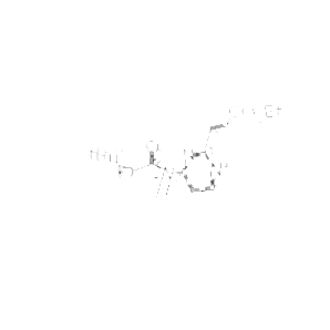 CCOC(=O)/C=C/c1nccc(NC(=O)OC(C)(C)C)n1